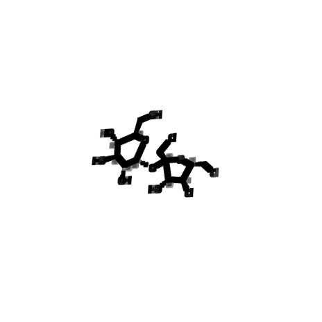 OC[C@H]1O[C@H](O[C@]2(CCl)O[C@H](CCl)[C@@H](Cl)[C@@H]2O)[C@H](O)[C@@H](O)[C@@H]1O